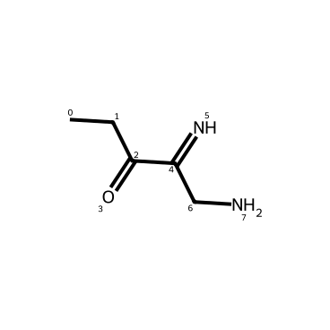 CCC(=O)C(=N)CN